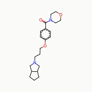 O=C(c1ccc(OCCCN2CC3CCCC3C2)cc1)N1CCOCC1